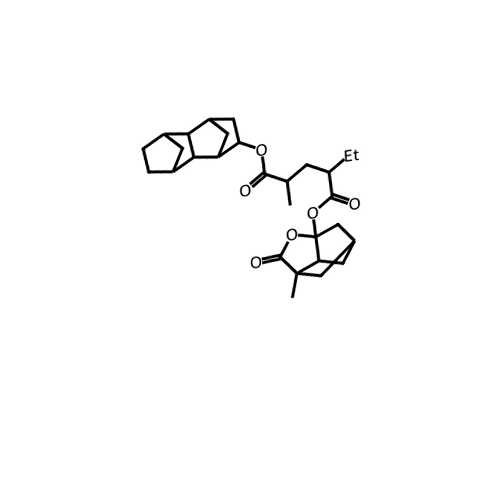 CCC(CC(C)C(=O)OC1CC2CC1C1C3CCC(C3)C21)C(=O)OC12CC3CC1C(C)(C3)C(=O)O2